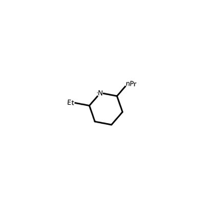 CCCC1CCCC(CC)[N]1